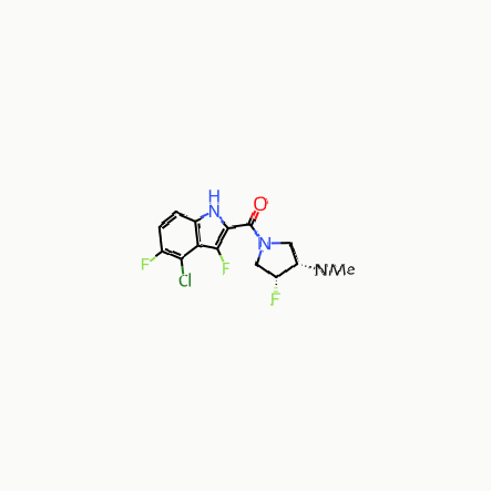 CN[C@H]1CN(C(=O)c2[nH]c3ccc(F)c(Cl)c3c2F)C[C@H]1F